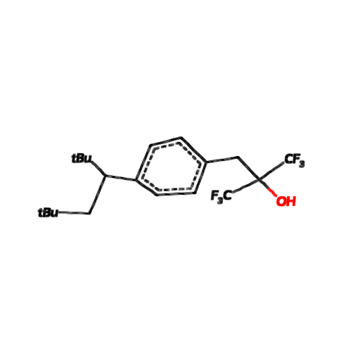 CC(C)(C)CC(c1ccc(CC(O)(C(F)(F)F)C(F)(F)F)cc1)C(C)(C)C